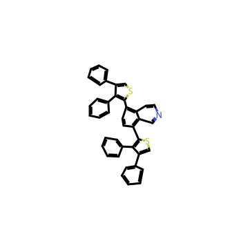 c1ccc(-c2csc(-c3ccc(-c4scc(-c5ccccc5)c4-c4ccccc4)c4cnccc34)c2-c2ccccc2)cc1